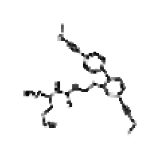 CSCC[C@H](NC(=O)OCC1c2cc(C#CSI)ccc2-c2ccc(C#CSI)cc21)C(=O)O